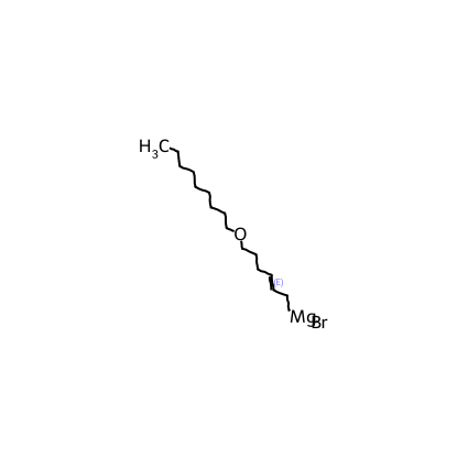 CCCCCCCCCOCCC/C=C/C[CH2][Mg][Br]